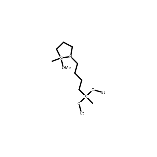 CCO[Si](C)(CCCCN1CCC[Si]1(C)OC)OCC